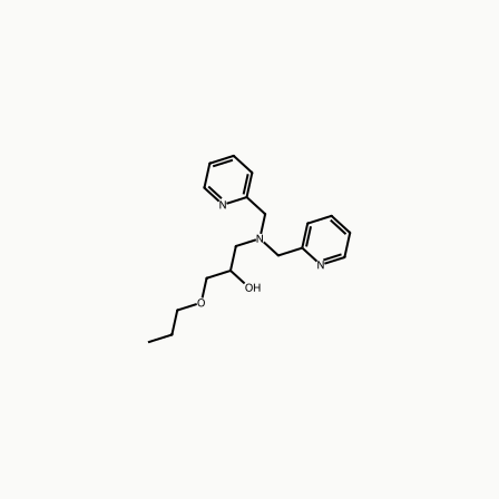 CCCOCC(O)CN(Cc1ccccn1)Cc1ccccn1